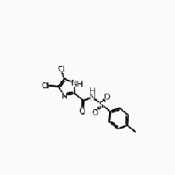 Cc1ccc(S(=O)(=O)NC(=O)c2nc(Cl)c(Cl)[nH]2)cc1